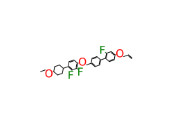 C=CCOc1ccc(-c2ccc(COc3ccc(C4CCC(OCC)CC4)c(F)c3F)cc2)c(F)c1